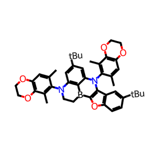 Cc1cc2c(c(C)c1N1CCB3c4oc5ccc(C(C)(C)C)cc5c4N(c4c(C)cc5c(c4C)OCCO5)c4cc(C(C)(C)C)cc1c43)OCCO2